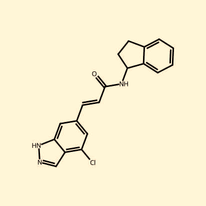 O=C(/C=C/c1cc(Cl)c2cn[nH]c2c1)NC1CCc2ccccc21